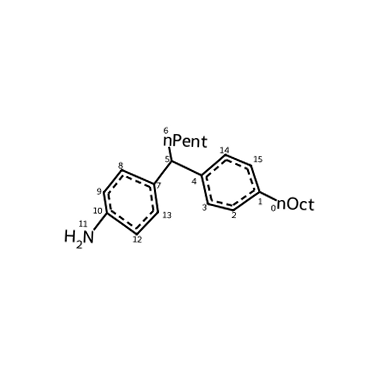 CCCCCCCCc1ccc(C(CCCCC)c2ccc(N)cc2)cc1